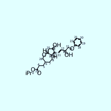 CC(C)OC(=O)CCC1CC[C@@H]2[C@@H](C=C[C@@H](O)COc3ccccc3)[C@H](O)C[C@@H]2OC1